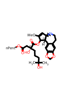 CCCCCOC(=O)C[C@](O)(CCCC(C)(C)O)C(=O)OC1C(OC)=CC23CCCN2CCc2cc4c(cc2[C@H]13)OCO4